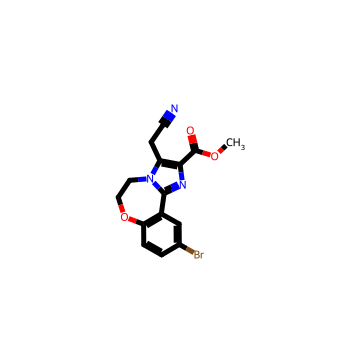 COC(=O)c1nc2n(c1CC#N)CCOc1ccc(Br)cc1-2